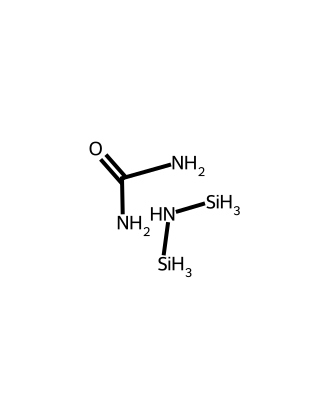 NC(N)=O.[SiH3]N[SiH3]